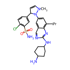 CC(C)c1cc(N2C(c3ccc(Cl)c(S(N)(=O)=O)c3)C=CN2C)cc2cnc(NC3CCC(N)CC3)nc12